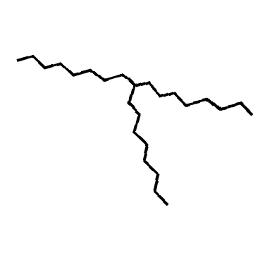 CCCCCCCC[C](CCCCCCCC)CCCCCCCC